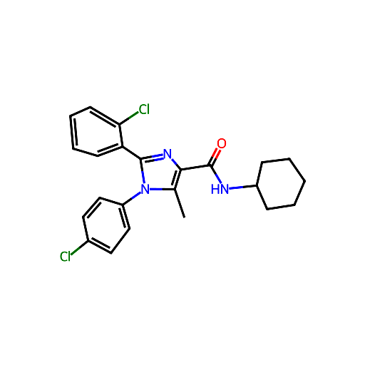 Cc1c(C(=O)NC2CCCCC2)nc(-c2ccccc2Cl)n1-c1ccc(Cl)cc1